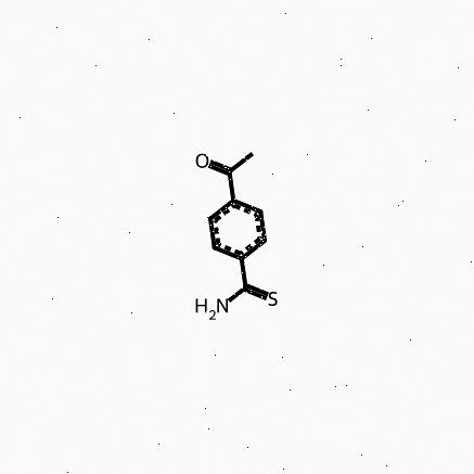 CC(=O)c1ccc(C(N)=S)cc1